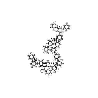 O=c1c2ccccc2c2c(-c3cccc4c3oc3c(-c5ccc(-c6cc(-c7ccc8c9ccc(-c%10cc(-c%11ccccc%11)nc(-c%11ccccc%11)c%10)cc9n9c8c7-c7ccccc7C9)cc(-c7ccccc7)n6)cc5)cccc34)ccc3c4ccc(-c5cccc6c5oc5ccccc56)cc4n1c32